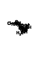 CNC(=O)c1nnc(NC(=O)C2CC2)cc1Nc1cccc(-c2ncc(S(=N)(=O)CCCCCl)cn2)c1OC